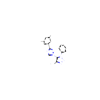 CC(=O)c1nnn(-c2ccccc2)c1-n1cnc(-c2cc(C(F)(F)F)cc(C(F)(F)F)c2)n1